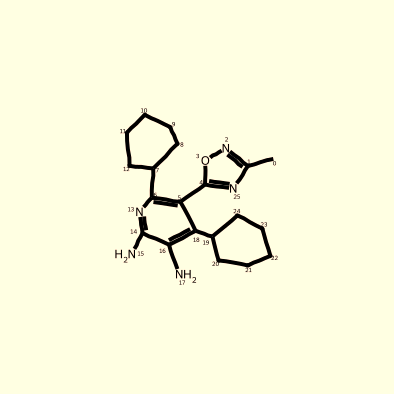 Cc1noc(-c2c(C3CCCCC3)nc(N)c(N)c2C2CCCCC2)n1